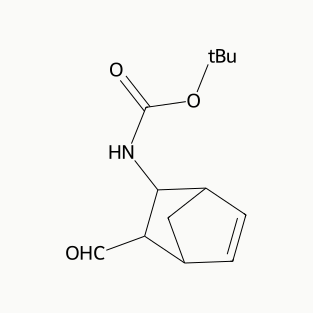 CC(C)(C)OC(=O)NC1C2C=CC(C2)C1C=O